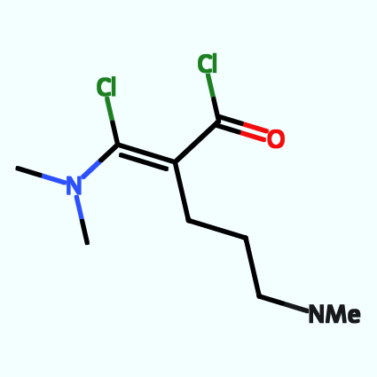 CNCCC/C(C(=O)Cl)=C(/Cl)N(C)C